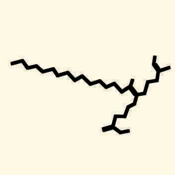 C=C(CC)CCCCC(CCCC(C)=CC)=C(C)CCCCCCCCCCCCCCC